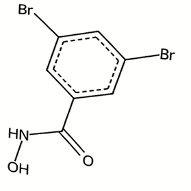 O=C(NO)c1cc(Br)cc(Br)c1